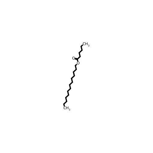 CCCCCCCCCCCCCCOC(=O)CCCCC